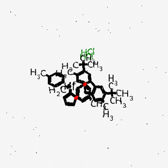 Cl.Cl.[CH2]=[Hf]([C]1=CC=CC1)([c]1ccc(C)cc1)([c]1ccc(C)cc1)[c]1c(C)c(C(C)(C)C)cc2c1Cc1cc(C)c(C(C)(C)C)cc1-2